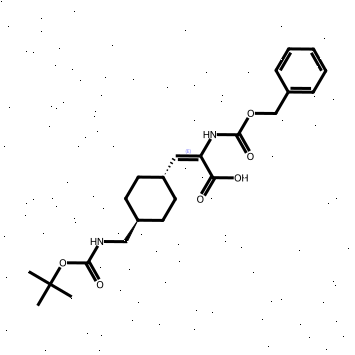 CC(C)(C)OC(=O)NC[C@H]1CC[C@H](/C=C(/NC(=O)OCc2ccccc2)C(=O)O)CC1